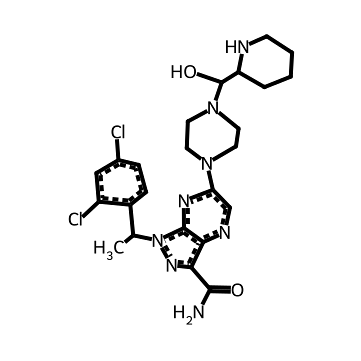 CC(c1ccc(Cl)cc1Cl)n1nc(C(N)=O)c2ncc(N3CCN(C(O)C4CCCCN4)CC3)nc21